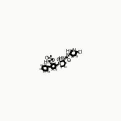 CS(=O)(=O)Nc1cc(N2CCC[C@@H](NC(=O)Nc3ccc(Cl)nc3)C2=O)ccc1-c1ccccc1